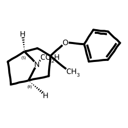 CC1(Oc2ccccc2)C[C@H]2CC[C@@H](C1)N2C(=O)O